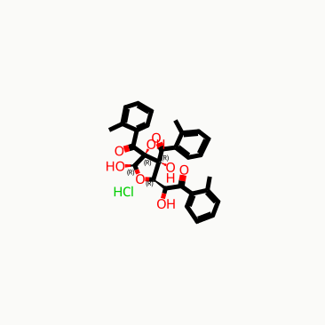 Cc1ccccc1C(=O)C(O)[C@H]1O[C@@H](O)[C@@](O)(C(=O)c2ccccc2C)[C@@]1(O)C(=O)c1ccccc1C.Cl